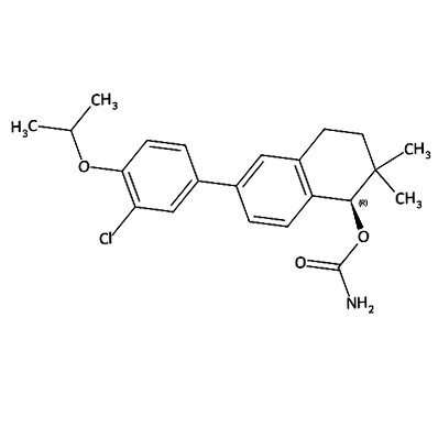 CC(C)Oc1ccc(-c2ccc3c(c2)CCC(C)(C)[C@H]3OC(N)=O)cc1Cl